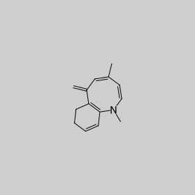 C=C1/C=C(C)\C=C/N(C)C2=C1CCC=C2